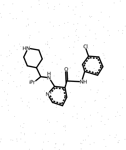 CC(C)C(Nc1ncccc1C(=O)Nc1cccc(Cl)c1)C1CCNCC1